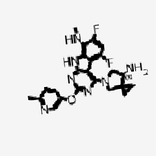 CNc1c(F)cc(F)c2c1[nH]c1nc(Oc3ccc(C)nc3)nc(N3C[C@H](N)C4(CC4)C3)c12